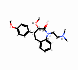 COc1ccc([C@@H]2Cc3ccccc3N(CCN(C)C)C(=O)[C@@H]2OC)cc1